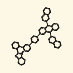 c1ccc2cc(-c3c4ccccc4c(-c4ccc5ccccc5c4)c4cc(-c5ccc(-c6ccc7c(c6)c6ccccc6c6nc8ccccc8n76)cc5)ccc34)ccc2c1